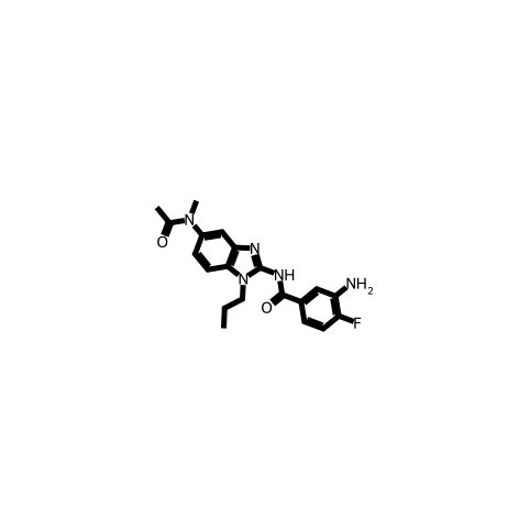 CCCn1c(NC(=O)c2ccc(F)c(N)c2)nc2cc(N(C)C(C)=O)ccc21